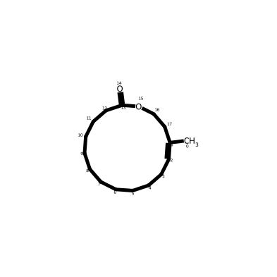 CC1=CCCCCCCCCCCC(=O)OCC1